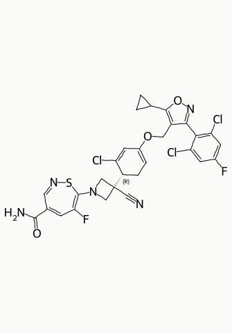 N#CC1([C@H]2CC=C(OCc3c(-c4c(Cl)cc(F)cc4Cl)noc3C3CC3)C=C2Cl)CN(C2=C(F)C=C(C(N)=O)C=NS2)C1